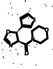 O=C([C@H]1N=CO[C@@H]1c1ccsc1)N1CCOCC1